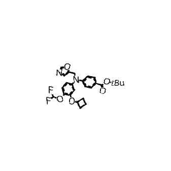 CC(C)(C)OC(=O)c1ccc(N(Cc2cnco2)c2ccc(OC(F)F)c(OC3CCC3)c2)cc1